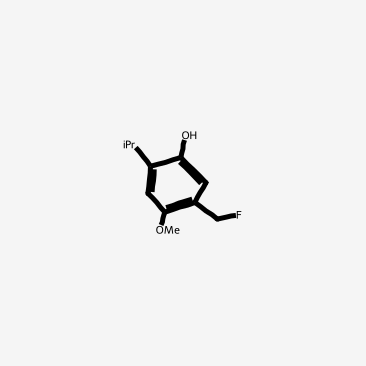 COc1cc(C(C)C)c(O)cc1CF